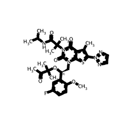 COc1ccc(F)cc1[C@H](Cn1c(=O)n(C(C)(C)C(=O)NC(C)C)c(=O)c2c(C)c(-n3nccn3)sc21)OC(C)(C)C(C)=O